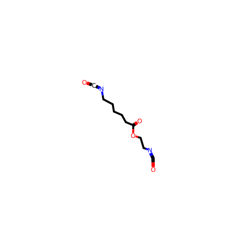 O=C=NCCCCCC(=O)OCCN=C=O